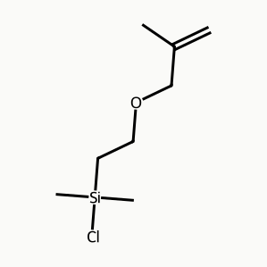 C=C(C)COCC[Si](C)(C)Cl